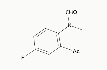 CC(=O)c1cc(F)ccc1N(C)C=O